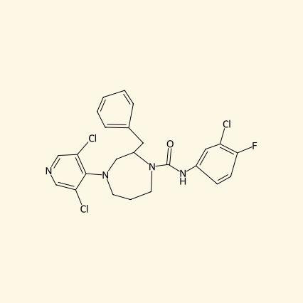 O=C(Nc1ccc(F)c(Cl)c1)N1CCCN(c2c(Cl)cncc2Cl)CC1Cc1ccccc1